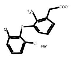 Nc1c(CC(=O)[O-])cccc1Oc1c(Cl)cccc1Cl.[Na+]